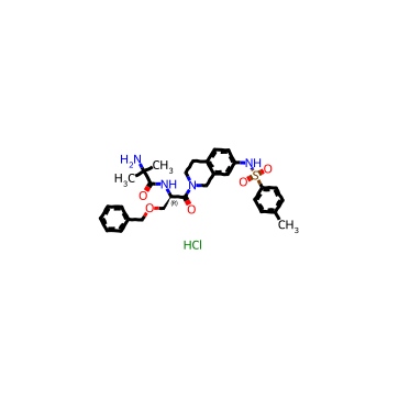 Cc1ccc(S(=O)(=O)Nc2ccc3c(c2)CN(C(=O)[C@@H](COCc2ccccc2)NC(=O)C(C)(C)N)CC3)cc1.Cl